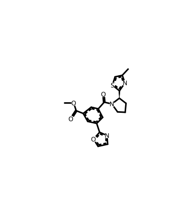 COC(=O)c1cc(C(=O)N2CCC[C@@H]2c2nc(C)cs2)cc(-c2ncco2)c1